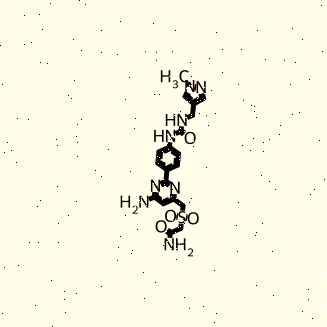 Cn1cc(CNC(=O)Nc2ccc(-c3nc(N)cc(CS(=O)(=O)CC(N)=O)n3)cc2)cn1